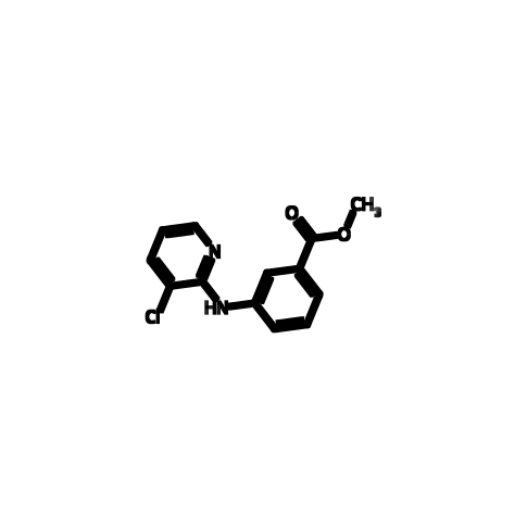 COC(=O)c1cccc(Nc2ncccc2Cl)c1